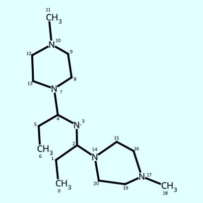 CCC([N]C(CC)N1CCN(C)CC1)N1CCN(C)CC1